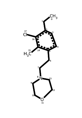 CCc1ccc(CCN2CCOCC2)c(C)c1Cl